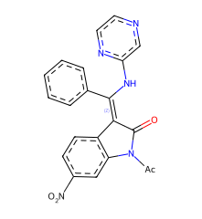 CC(=O)N1C(=O)/C(=C(\Nc2cnccn2)c2ccccc2)c2ccc([N+](=O)[O-])cc21